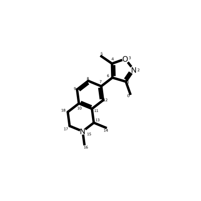 Cc1noc(C)c1-c1ccc2c(c1)C(C)N(C)CC2